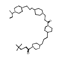 CCC(C)N1CCC(CCCC2CCN(CCC(=O)N3CCC(CCCC4CCN(C(=O)CCC(C)(C)C)CC4)CC3)CC2)CC1